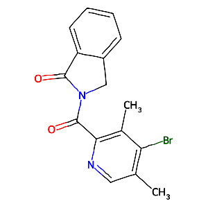 Cc1cnc(C(=O)N2Cc3ccccc3C2=O)c(C)c1Br